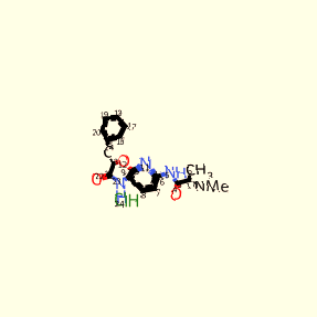 CN[C@@H](C)C(=O)Nc1ccc2c(n1)O[C@@H](Cc1ccccc1)C(=O)N2.Cl